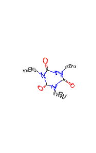 CCCCn1c(=O)n(CCCC)c(=O)n(CCCC)c1=O